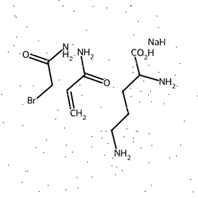 C=CC(N)=O.NC(=O)CBr.NCCCC(N)C(=O)O.[NaH]